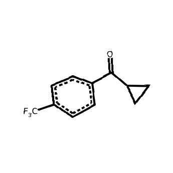 O=C(c1ccc(C(F)(F)F)cc1)C1CC1